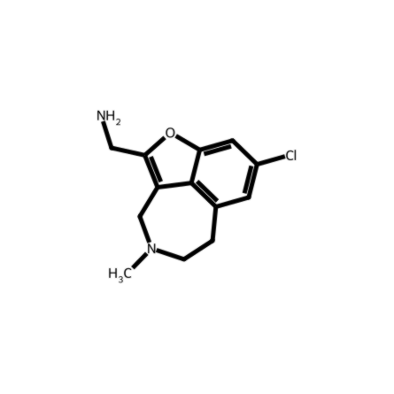 CN1CCc2cc(Cl)cc3oc(CN)c(c23)C1